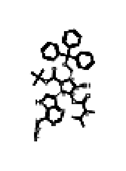 CC(C)[C@H](C)C(=O)O[C@@H]1[C@H](O)[C@@H](COC(c2ccccc2)(c2ccccc2)c2ccccc2)N(C(=O)OC(C)(C)C)[C@H]1c1c[nH]c2c(N=[N+]=[N-])ncnc12